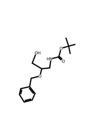 CC(C)(C)OC(=O)NCC(CO)OCc1ccccc1